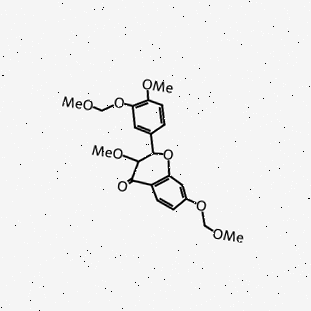 COCOc1ccc2c(c1)OC(c1ccc(OC)c(OCOC)c1)C(OC)C2=O